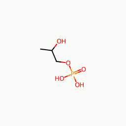 CC(O)COP(=O)(O)O